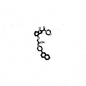 O=C(c1cc2c(OC[C@@H](O)CN3CCC(c4ccc5ccccc5c4)CC3)cccc2[nH]1)N1CCOCC1